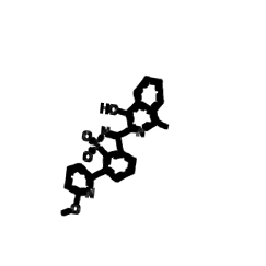 COc1cccc(-c2cccc3c2S(=O)(=O)N=C3c2nc(C)c3ccccc3c2O)n1